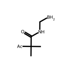 BCNC(=O)C(C)(C)C(C)=O